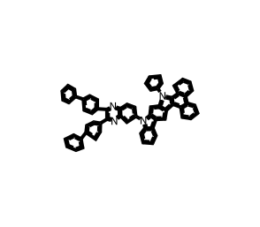 c1ccc(-c2ccc(-c3nc4ccc(-n5c6ccccc6c6cc7c8c9ccccc9c9ccccc9c8n(-c8ccccc8)c7cc65)cc4nc3-c3ccc(-c4ccccc4)cc3)cc2)cc1